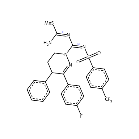 CS/C(N)=N/C(=N/S(=O)(=O)c1ccc(C(F)(F)F)cc1)N1CCC(c2ccccc2)C(c2ccc(F)cc2)=N1